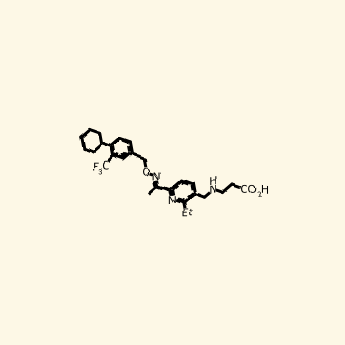 CCc1nc(/C(C)=N/OCc2ccc(C3CCCCC3)c(C(F)(F)F)c2)ccc1CNCCC(=O)O